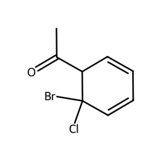 CC(=O)C1C=CC=CC1(Cl)Br